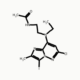 CCN(CCNC(C)=O)c1cc(Cl)nn2c(I)c(C)nc12